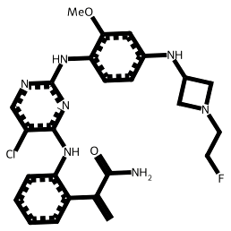 C=C(C(N)=O)c1ccccc1Nc1nc(Nc2ccc(NC3CN(CCF)C3)cc2OC)ncc1Cl